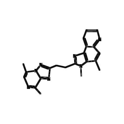 Cc1cc2ncccc2c2nc(CCc3nc4c(C)ncc(C)n4n3)n(C)c12